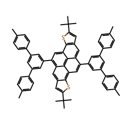 Cc1ccc(-c2cc(-c3ccc(C)cc3)cc(-c3cc4c5sc(C(C)(C)C)cc5cc5c(-c6cc(-c7ccc(C)cc7)cc(-c7ccc(C)cc7)c6)cc6c7sc(C(C)(C)C)cc7cc3c6c54)c2)cc1